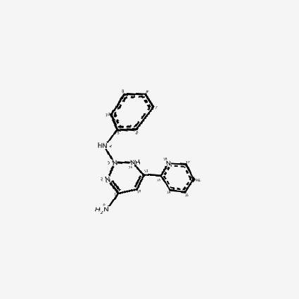 NC1=NN(Nc2ccccc2)NC(c2ccccn2)=C1